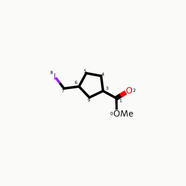 COC(=O)C1CCC(CI)C1